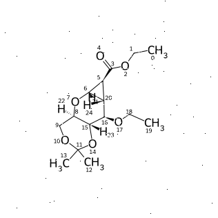 CCOC(=O)[C@@H]1[C@H]2O[C@@H]3COC(C)(C)O[C@H]3[C@H](OCC)[C@H]21